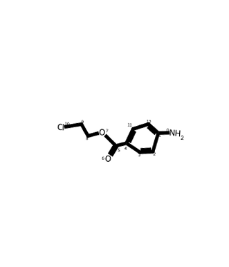 Nc1ccc(C(=O)OCCCl)cc1